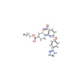 CCOC(=O)C1CCN(c2nc(Oc3ccc(-n4cncn4)cc3)ccc2[N+](=O)[O-])CC1